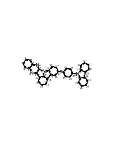 c1ccc2nc3c(nc2c1)c1cccc2c4cc(-c5ccc(-n6c7ccccc7c7ccccc76)cc5)ccc4n3c21